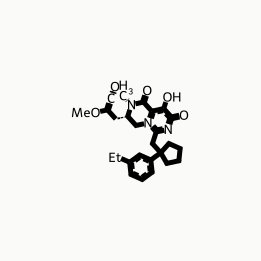 CCc1cccc(C2(Cc3nc(=O)c(O)c4n3C[C@H](CC(=C=O)OC)N(C)C4=O)CCCC2)c1